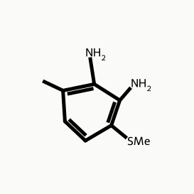 CSc1ccc(C)c(N)c1N